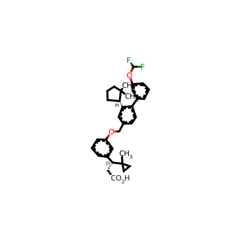 CC1(C)CCC[C@H]1c1cc(COc2cccc([C@@H](CC(=O)O)C3(C)CC3)c2)ccc1-c1cccc(OC(F)F)c1